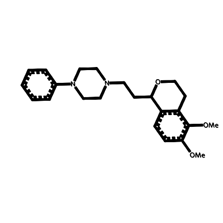 COc1ccc2c(c1OC)CCOC2CCN1CCN(c2ccccc2)CC1